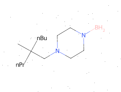 BN1CCN(CC(C)(CCC)CCCC)CC1